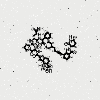 CCCC[C@H](NC(=O)c1cc2cc(C(F)(F)P(=O)(O)O)ccc2s1)C(=O)N1CCC[C@H]1C(=O)N[C@@H](CCC(N)=O)C(=O)N[C@H](C(=O)N1CCC(CCC#Cc2cccc3c2CN(C2CCC(=O)NC2=O)C3=O)CC1)c1ccccc1